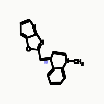 CN1C=C/C(=C\c2nc3ncccc3o2)c2ccccc21